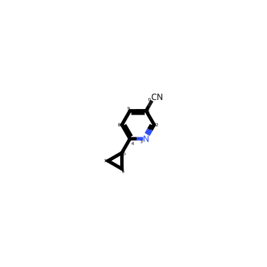 N#Cc1[c]nc(C2CC2)cc1